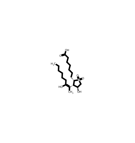 CCCCCC/C(O)=C(/C)[C@H]1[C@H](O)CS(=O)(=O)[C@H]1CCCCCCC(=O)O